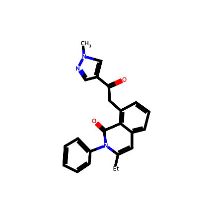 CCc1cc2cccc(CC(=O)c3cnn(C)c3)c2c(=O)n1-c1ccccc1